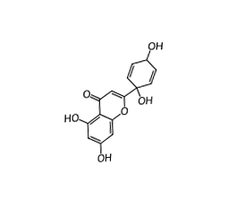 O=c1cc(C2(O)C=CC(O)C=C2)oc2cc(O)cc(O)c12